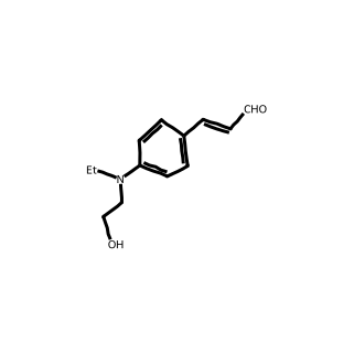 CCN(CCO)c1ccc(/C=C/C=O)cc1